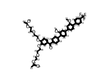 COc1cc(-c2ccc(-c3ccc(C(F)(F)F)cc3)c(OC)c2)ccc1-c1ccc(C(=O)c2ccc(OCCOCCOC(C)=O)c(OCCOCCOC(C)=O)c2)cc1